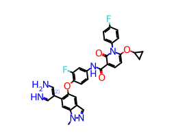 Cn1ncc2cc(Oc3ccc(NC(=O)c4ccc(OC5CC5)n(-c5ccc(F)cc5)c4=O)cc3F)c(/C(C=N)=C/N)cc21